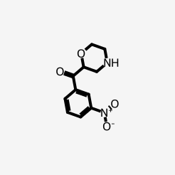 O=C(c1cccc([N+](=O)[O-])c1)C1CNCCO1